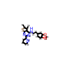 Cc1sc2nc(-c3ccccn3)nc(NCCc3ccc4c(c3)OCO4)c2c1C